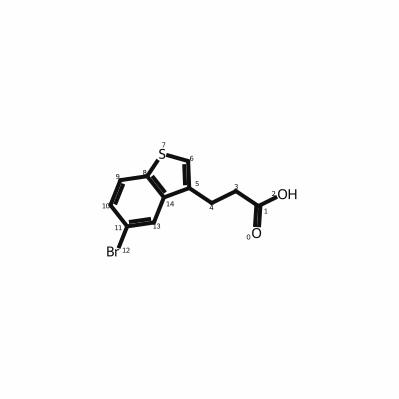 O=C(O)CCc1csc2ccc(Br)cc12